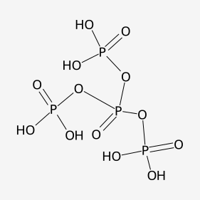 O=P(O)(O)OP(=O)(OP(=O)(O)O)OP(=O)(O)O